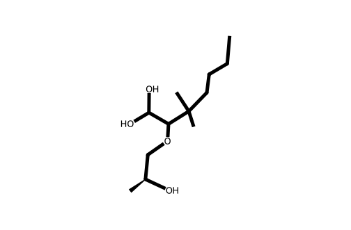 CCCCC(C)(C)C(OC[C@H](C)O)C(O)O